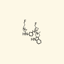 C[C@H]1Cc2c([nH]c3ccccc23)[C@H](c2ccc(NC3CN(CCCF)C3)cc2)N1[C@@H]1CC2(CF)CC1C2